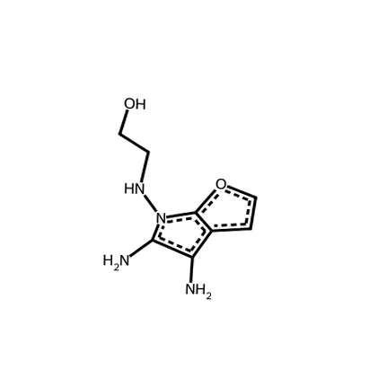 Nc1c(N)n(NCCO)c2occc12